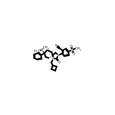 CN(C)[C@]1(c2ccccc2)CC[C@]2(CC1)CN(c1ccc(S(C)(=O)=O)cc1C#N)C(=O)N2CC1CCC1